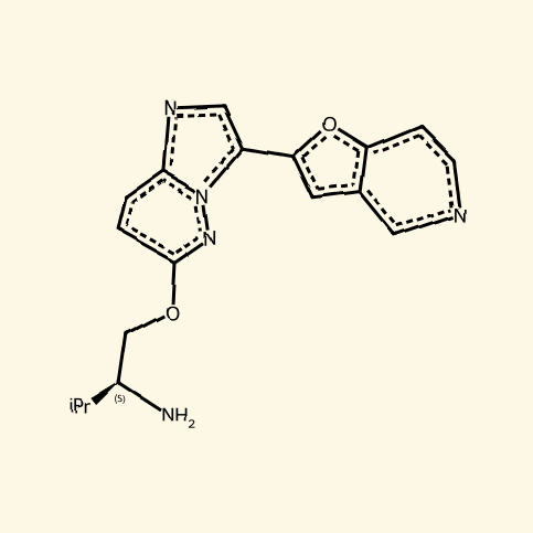 CC(C)[C@H](N)COc1ccc2ncc(-c3cc4cnccc4o3)n2n1